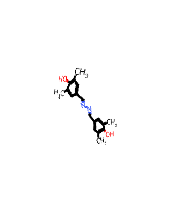 Cc1cc(C=NN=Cc2cc(C)c(O)c(C)c2)cc(C)c1O